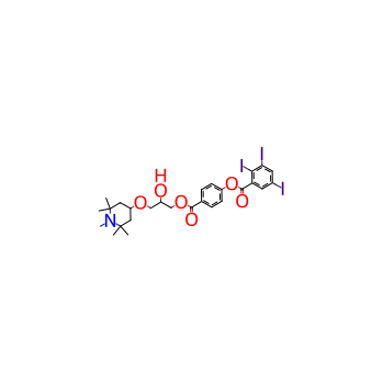 CN1C(C)(C)CC(OCC(O)COC(=O)c2ccc(OC(=O)c3cc(I)cc(I)c3I)cc2)CC1(C)C